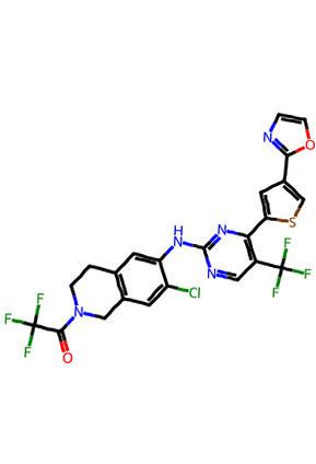 O=C(N1CCc2cc(Nc3ncc(C(F)(F)F)c(-c4cc(-c5ncco5)cs4)n3)c(Cl)cc2C1)C(F)(F)F